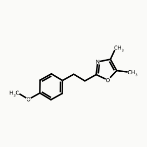 COc1ccc(CCc2nc(C)c(C)o2)cc1